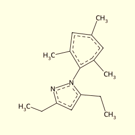 CCc1cc(CC)n(-c2c(C)cc(C)cc2C)n1